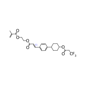 C=C(C)C(=O)OCCOC(=O)/C=C/c1ccc(C2CCC(OC(=O)CC(F)(F)F)CC2)cc1